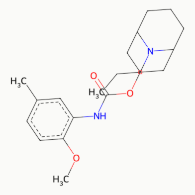 CCCN1C2CCCC1CC(OC(=O)Nc1cc(C)ccc1OC)C2